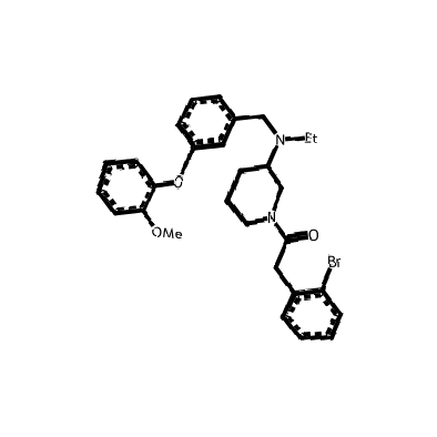 CCN(Cc1cccc(Oc2ccccc2OC)c1)C1CCCN(C(=O)Cc2ccccc2Br)C1